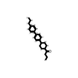 CCCC(=O)C1CCC(c2ccc(-c3ccc(CCC)cc3)cc2)CC1